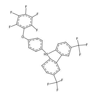 Fc1c(F)c(F)c(Oc2ccc([SH]3c4ccc(C(F)(F)F)cc4-c4cc(C(F)(F)F)ccc43)cc2)c(F)c1F